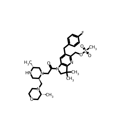 C[C@@H]1CN(CC(=O)N2CC(C)(C)c3nc(COS(C)(=O)=O)c(Cc4ccc(F)cc4)cc32)[C@@H](CN2CCOC[C@H]2C)CN1